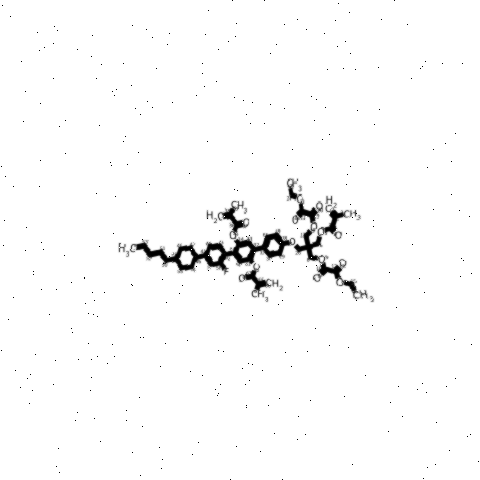 C=C(C)C(=O)OCC(COC(=O)C(=O)OCC)(COC(=O)C(=O)OCC)COc1ccc(-c2cc(OC(=O)C(=C)C)c(-c3ccc(C4CCC(CCCCC)CC4)cc3F)cc2OC(=O)C(=C)C)cc1